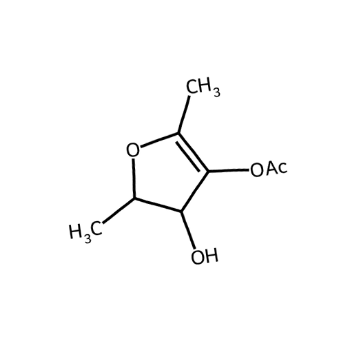 CC(=O)OC1=C(C)OC(C)C1O